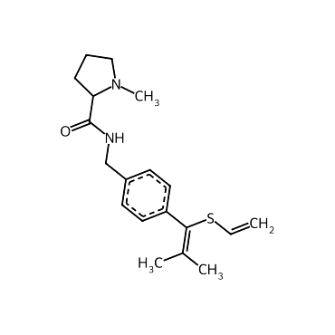 C=CSC(=C(C)C)c1ccc(CNC(=O)C2CCCN2C)cc1